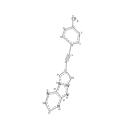 FC(F)(F)c1ccc(C#Cc2cn3c4nccnc4[n-][n+]3c2)cc1